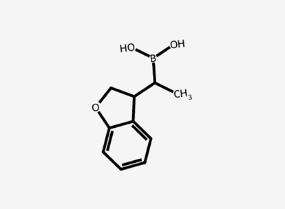 CC(B(O)O)C1COc2ccccc21